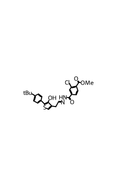 COC(=O)c1ccc(C(=O)NN=CCc2csc(-c3ccc(C(C)(C)C)cc3)c2O)cc1Cl